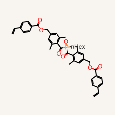 C=Cc1ccc(C(=O)OCc2cc(C)c(C(=O)P(=O)(CCCCCC)C(=O)c3c(C)cc(COC(=O)c4ccc(C=C)cc4)cc3C)c(C)c2)cc1